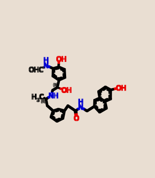 C[C@H](Cc1cccc(CC(=O)NCc2ccc3cc(O)ccc3c2)c1)NC[C@H](O)c1ccc(O)c(NC=O)c1